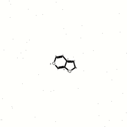 C1=CC2=CCOC2=CO1